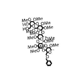 COCC1O[C@@H](O[C@H]2C(OC)C(OC)[C@@H](O[C@H]3C(OC)C(OC)[C@H](O[C@@H]4C(COCc5ccccc5)O[C@@H](C)C(OC)[C@H]4OC)O[C@H]3COC)O[C@H]2COC)C(OC)[C@@H](OC)[C@@H]1O[C@H]1OC(CO)[C@@H](O)[C@H](OC)C1OC